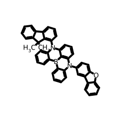 CC1(C)c2ccccc2-c2cccc(N3c4ccccc4B4c5ccccc5N(c5ccc6oc7ccccc7c6c5)c5cccc3c54)c21